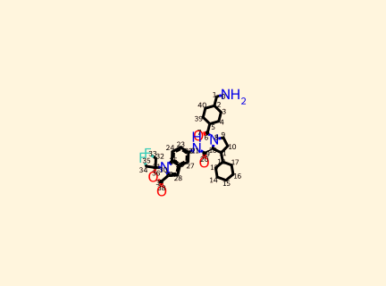 NCC1CCC(C(=O)N2CCC(C3CCCCC3)[C@H]2C(=O)Nc2ccc3c(c2)cc2n3C(CF)(CF)OC2=O)CC1